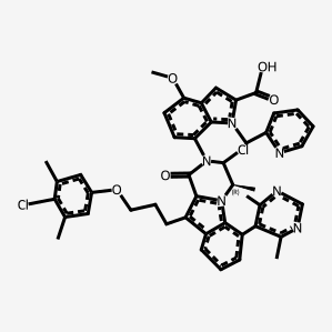 COc1ccc(N2C(=O)c3c(CCCOc4cc(C)c(Cl)c(C)c4)c4cccc(-c5c(C)ncnc5C)c4n3[C@H](C)C2Cl)c2c1cc(C(=O)O)n2Cc1ccccn1